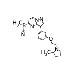 CB(C#N)c1ccn2ncc(-c3cccc(OCCN4CCCC4C)c3)c2n1